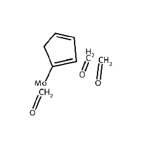 C=O.C=O.C=O.[Mo][C]1=CC=CC1